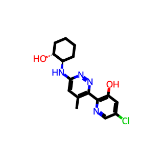 Cc1cc(N[C@@H]2CCCC[C@H]2O)nnc1-c1ncc(Cl)cc1O